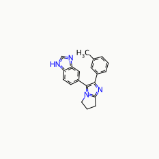 Cc1cccc(-c2nc3n(c2-c2ccc4[nH]cnc4c2)CCC3)c1